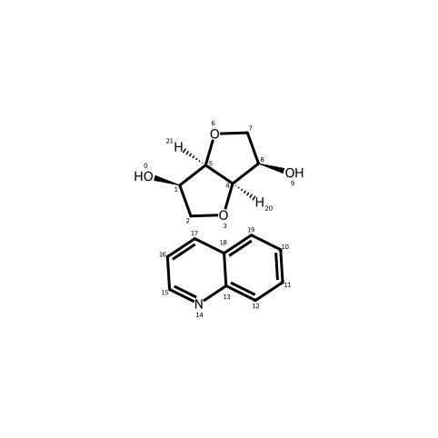 O[C@@H]1CO[C@H]2[C@@H]1OC[C@H]2O.c1ccc2ncccc2c1